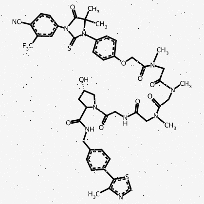 Cc1ncsc1-c1ccc(CNC(=O)C2C[C@H](O)CN2C(=O)CNC(=O)CN(C)C(=O)CN(C)C(=O)CN(C)C(=O)COc2ccc(N3C(=S)N(c4ccc(C#N)c(C(F)(F)F)c4)C(=O)C3(C)C)cc2)cc1